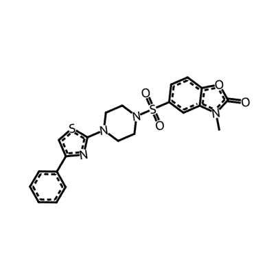 Cn1c(=O)oc2ccc(S(=O)(=O)N3CCN(c4nc(-c5ccccc5)cs4)CC3)cc21